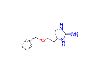 N=C1NCC(CCOCc2ccccc2)N1